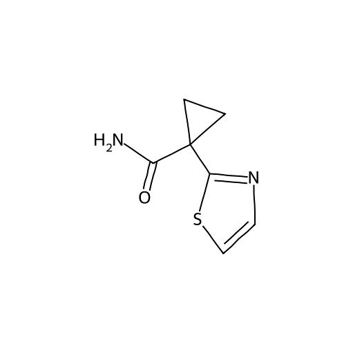 NC(=O)C1(c2nccs2)CC1